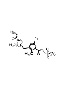 Cc1c(CN2CCN(C(=O)OC(C)(C)C)[C@@H](C)C2)cc(Cl)cc1C(=O)CCS(C)(=O)=O